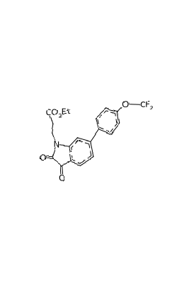 CCOC(=O)CCN1C(=O)C(=O)c2ccc(-c3ccc(OC(F)(F)F)cc3)cc21